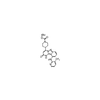 Cc1cccnc1Nc1cccc2nn3c(C4CCN(C(=O)OC(C)(C)C)CC4)cc(=O)[nH]c3c12